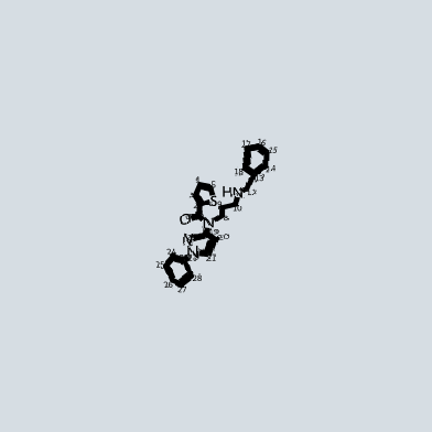 O=C(c1cccs1)N(CCCNCc1ccccc1)c1ccn(-c2ccccc2)n1